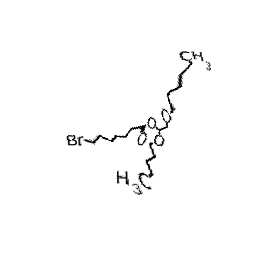 CCCCCCOCC(OCCCCC)OC(=O)CCCCCCBr